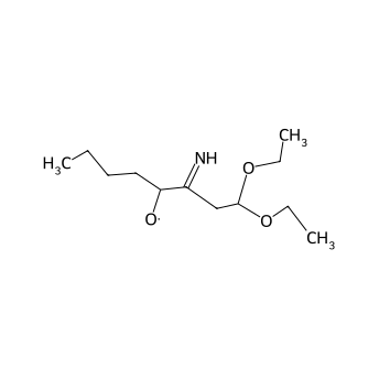 CCCCC([O])C(=N)CC(OCC)OCC